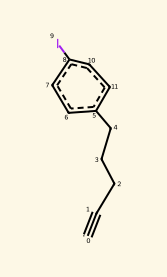 [C]#CCCCc1ccc(I)cc1